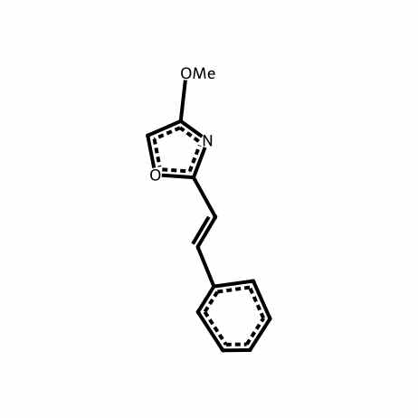 COc1coc(C=Cc2ccccc2)n1